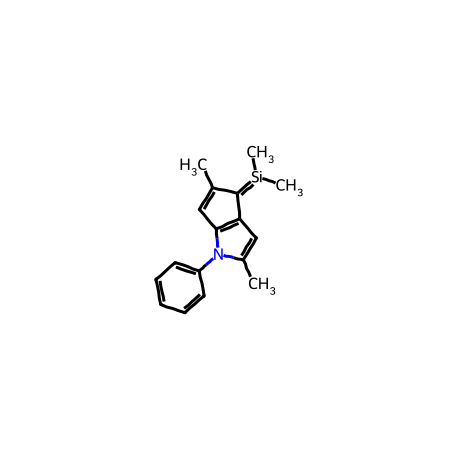 CC1=Cc2c(cc(C)n2-c2ccccc2)C1=[Si](C)C